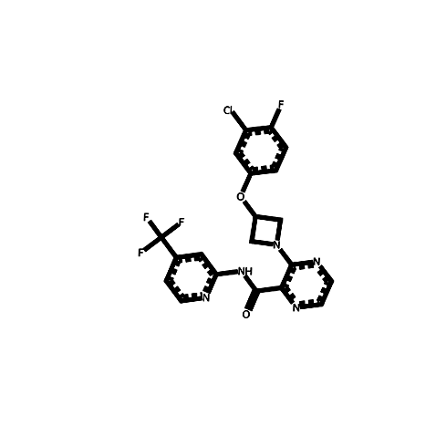 O=C(Nc1cc(C(F)(F)F)ccn1)c1nccnc1N1CC(Oc2ccc(F)c(Cl)c2)C1